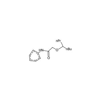 CCCCC(CCC)OCC(=O)Nc1ccccc1